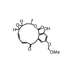 COCOc1cc(O)c2c(c1)CC(=O)/C=C/C=C\[C@@H]1O[C@@H]1C[C@@H](C)OC2=O